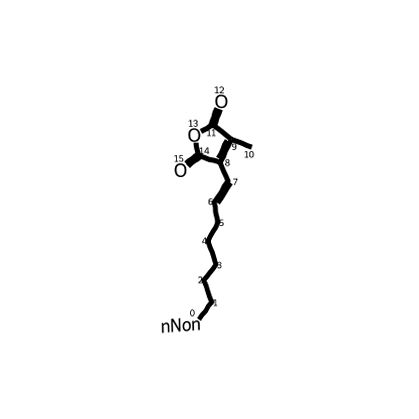 CCCCCCCCCCCCCCC=CC1=C(C)C(=O)OC1=O